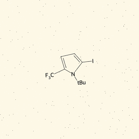 CC(C)(C)n1c(I)ccc1C(F)(F)F